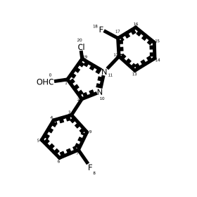 O=Cc1c(-c2cccc(F)c2)nn(-c2ccccc2F)c1Cl